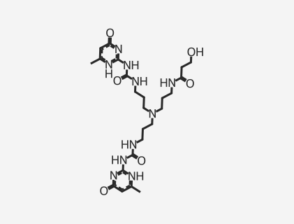 Cc1cc(=O)nc(NC(=O)NCCCN(CCCNC(=O)CCO)CCCNC(=O)Nc2nc(=O)cc(C)[nH]2)[nH]1